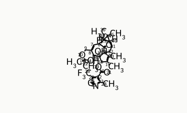 CC1=C[C@]23C(=O)[C@@H](C=C4COC(C)(C)O[C@H]4[C@]2(O)[C@H]1OC(=O)c1c(C)noc1C(F)(F)F)[C@H]1[C@@H](C[C@H]3C)C1(C)C